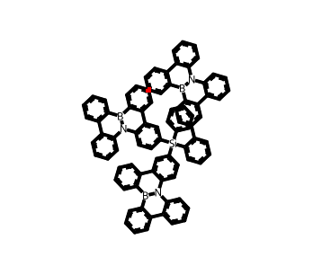 c1ccc([Si](c2ccc3c(c2)-c2ccccc2B2c4ccccc4-c4ccccc4N23)(c2ccc3c(c2)-c2ccccc2B2c4ccccc4-c4ccccc4N23)c2ccccc2-c2ccc3c(c2)-c2ccccc2N2B3c3ccccc3-c3ccccc32)cc1